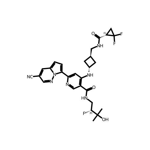 CC(C)(O)[C@H](F)CNC(=O)c1cnc(-c2ccc3cc(C#N)cnn23)cc1N[C@H]1C[C@H](CNC(=O)[C@@H]2CC2(F)F)C1